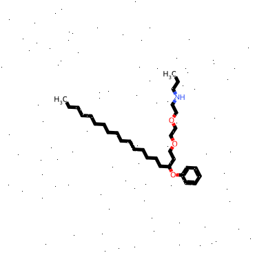 CCCCCCCCCCCCCCCCC(CCOCCOCCNCCC)Oc1ccccc1